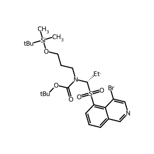 C[CH][C@@H](N(CCCO[Si](C)(C)C(C)(C)C)C(=O)OC(C)(C)C)S(=O)(=O)c1cccc2cncc(Br)c12